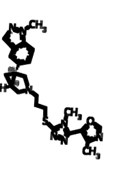 Cc1ncoc1-c1nnc(SCCCN2C[C@@H]3C[C@@]3(c3ccc4c(cnn4C)c3)C2)n1C